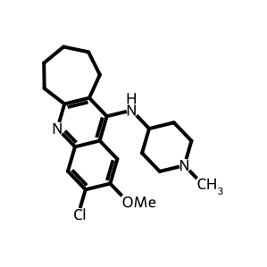 COc1cc2c(NC3CCN(C)CC3)c3c(nc2cc1Cl)CCCCC3